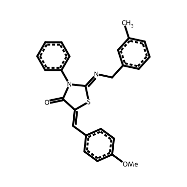 COc1ccc(/C=C2\S/C(=N\Cc3cccc(C)c3)N(c3ccccc3)C2=O)cc1